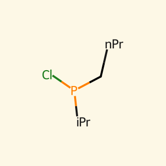 CCCCP(Cl)C(C)C